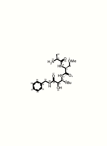 CCCC[C@H](NC(=O)[C@H](COC)NC(=O)[C@H](C)N)C(O)C(=O)NCc1ccccc1